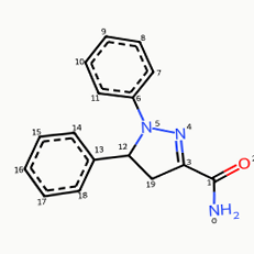 NC(=O)C1=NN(c2ccccc2)C(c2ccccc2)C1